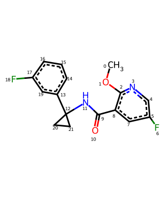 COc1ncc(F)cc1C(=O)NC1(c2cccc(F)c2)CC1